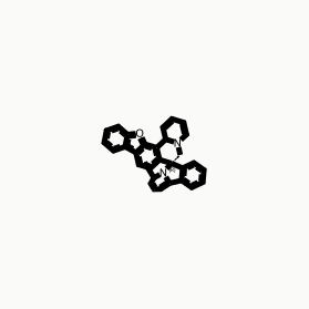 CC1C=CC=C2c3ccccc3[C@@]3(CN4C=CC=CC4c4c3ccc3c4oc4ccccc43)N21